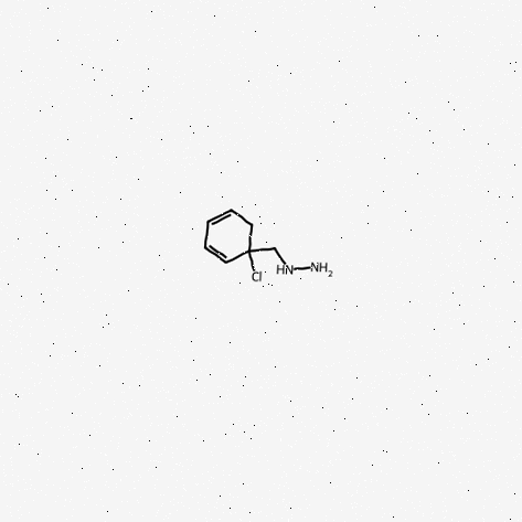 NNCC1(Cl)C=CC=CC1